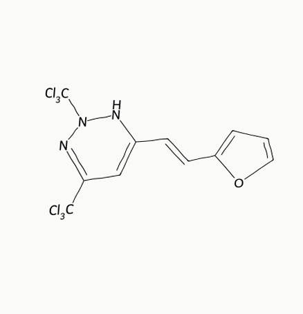 ClC(Cl)(Cl)C1=NN(C(Cl)(Cl)Cl)NC(C=Cc2ccco2)=C1